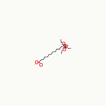 CCO[Si](CCCCCCCCCCCC(=O)OC)(OCC)OCC